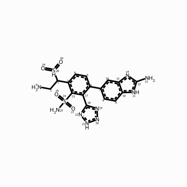 NCC(c1ccc(-c2ccc3[nH]c(N)nc3c2)c(-c2nn[nH]n2)c1S(N)(=O)=O)[SH](=O)=O